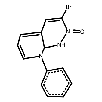 O=[N+]1NC2C(=CC=CN2c2ccccc2)C=C1Br